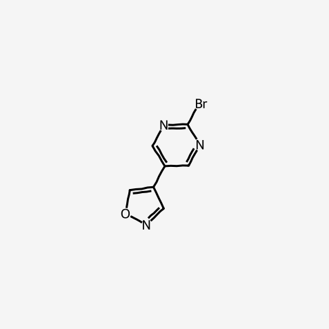 Brc1ncc(-c2cnoc2)cn1